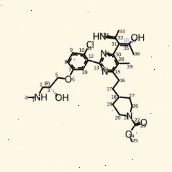 CNC[C@@H](O)COc1ccc(Cl)c(-c2nc(CCC3CCN(C(=O)OC)CC3)c(C)c(/C(C(C)=N)=C(\C)O)n2)c1